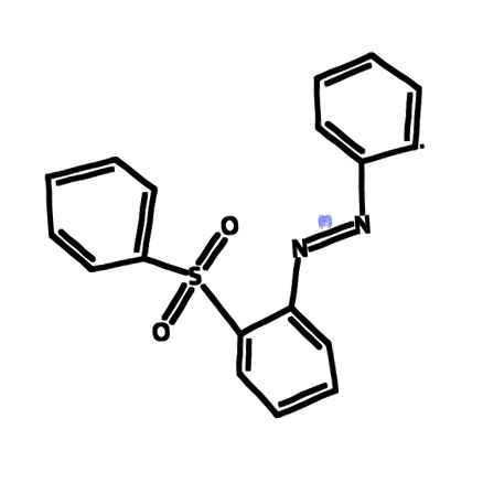 O=S(=O)(c1ccccc1)c1ccccc1/N=N/c1[c]cccc1